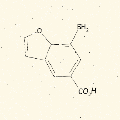 Bc1cc(C(=O)O)cc2ccoc12